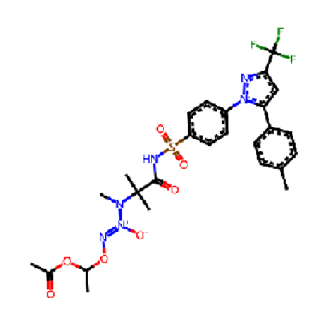 CC(=O)OC(C)O/N=[N+](\[O-])N(C)C(C)(C)C(=O)NS(=O)(=O)c1ccc(-n2nc(C(F)(F)F)cc2-c2ccc(C)cc2)cc1